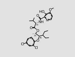 CCC(CC)[C@@H](Oc1ccc(Cl)cc1Cl)[C@H](C)OC(=O)[C@@H](NC(=O)c1nccc(OC)c1O)C(C)C